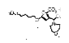 CCCCCCCCCCCCCCOc1cc(C(CC)N2CCOCC2)c(C(=O)O)o1